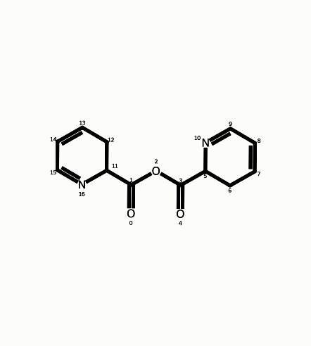 O=C(OC(=O)C1CC=CC=N1)C1CC=CC=N1